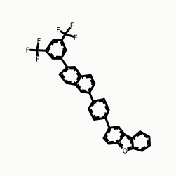 FC(F)(F)c1cc(-c2ccc3cc(-c4ccc(-c5ccc6oc7ccccc7c6c5)cc4)ccc3c2)cc(C(F)(F)F)c1